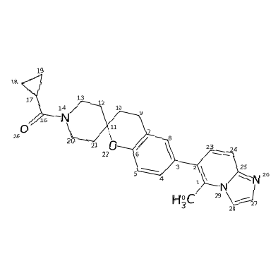 Cc1c(-c2ccc3c(c2)CCC2(CCN(C(=O)C4CC4)CC2)O3)ccc2nccn12